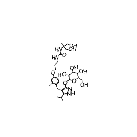 Cc1cc(OCCCNC(=O)NC(C)(CO)CO)ccc1Cc1c(O[C@@H]2O[C@H](CO)[C@@H](O)[C@H](O)[C@H]2O)n[nH]c1C(C)C